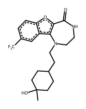 CC1(O)CCC(CCN2CCNC(=O)c3oc4ccc(C(F)(F)F)cc4c32)CC1